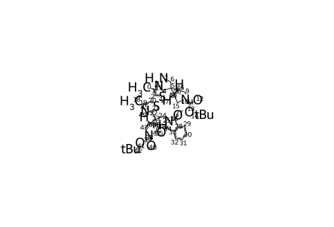 Cc1csc(C2(CN)[C@@H]3CN(C(=O)OC(C)(C)C)C[C@@H]32)n1.Cc1csc(C2(CN3C(=O)c4ccccc4C3=O)[C@@H]3CN(C(=O)OC(C)(C)C)C[C@@H]32)n1